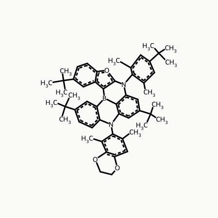 Cc1cc(C(C)(C)C)cc(C)c1N1c2cc(C(C)(C)C)cc3c2B(c2cc(C(C)(C)C)ccc2N3c2c(C)cc3c(c2C)OCCO3)c2c1oc1ccc(C(C)(C)C)cc21